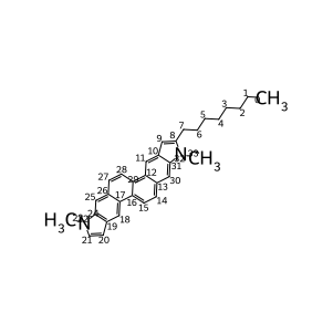 CCCCCCCCc1cc2cc3c(ccc4c5cc6ccn(C)c6cc5ccc34)cc2n1C